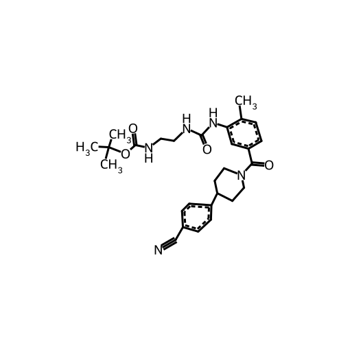 Cc1ccc(C(=O)N2CCC(c3ccc(C#N)cc3)CC2)cc1NC(=O)NCCNC(=O)OC(C)(C)C